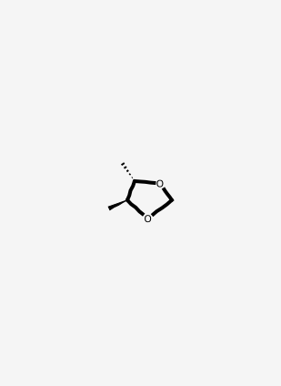 C[C@@H]1OCO[C@H]1C